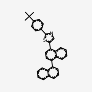 CC(C)(C)c1ccc(-c2ncc(-c3ccc(-c4cccc5ccccc45)c4ccccc34)s2)cc1